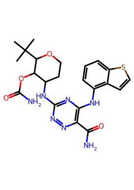 CC(C)(C)C1OCCC(Nc2nnc(C(N)=O)c(Nc3cccc4sccc34)n2)C1OC(N)=O